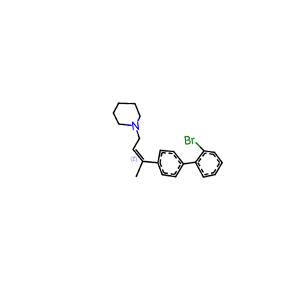 C/C(=C/CN1CCCCC1)c1ccc(-c2ccccc2Br)cc1